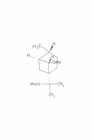 CO[C@H]1[C@H]2C[C@]1(C(C)(C)OC)CC[C@H]2C